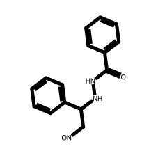 O=NCC(NNC(=O)c1ccccc1)c1ccccc1